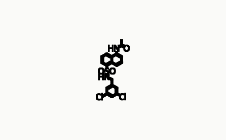 CC(=O)Nc1cccc2c(S(=O)(=O)NCc3cc(Cl)cc(Cl)c3)cccc12